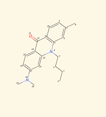 CCCCn1c2cc(C)ccc2c(=O)c2ccc(N(C)C)cc21